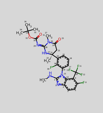 CNc1nc2ccc(F)c(C(F)(F)F)c2n1-c1cccc([C@]2(C)CC(=O)N(C)/C(=N\C(=O)OC(C)(C)C)N2)c1F